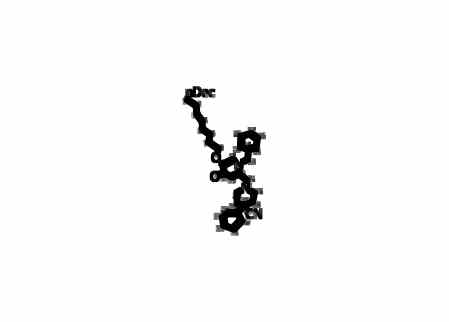 CCCCCCCCCCCCCCCCCCOc1cn(Cc2ccccc2)c(CN2CCC(C#N)(c3ccccc3)CC2)cc1=O